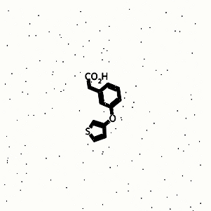 O=C(O)Cc1cccc(Oc2ccsc2)c1